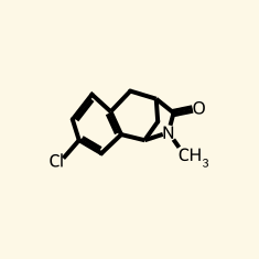 CN1C(=O)C2Cc3ccc(Cl)cc3C1C2